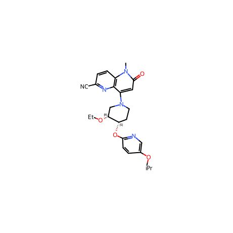 CCO[C@@H]1CN(c2cc(=O)n(C)c3ccc(C#N)nc23)CC[C@@H]1Oc1ccc(OC(C)C)cn1